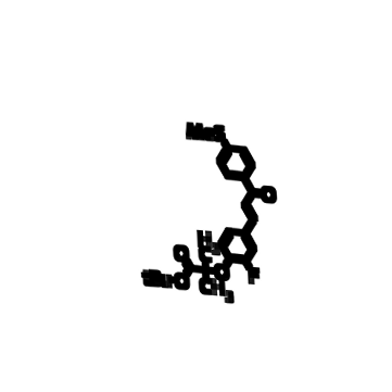 CSc1ccc(C(=O)C=Cc2ccc(OC(C)(C)C(=O)OC(C)(C)C)c(F)c2)cc1